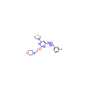 Cc1cccc(/C=N/Nc2cc(N3CCSC3)nc(OCCN3CCOCC3)n2)c1